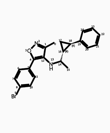 Cc1noc(-c2ccc(Br)cc2)c1NC(C)[C@@H]1C[C@H]1c1ccccc1